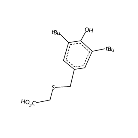 CC(C)(C)c1cc(CSCC(=O)O)cc(C(C)(C)C)c1O